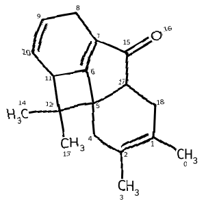 CC1=C(C)CC23C4=C(CC=CC4C2(C)C)C(=O)C3C1